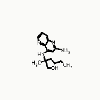 CCCC[C@](C)(CO)Nc1cc(N)nc2cccnc12